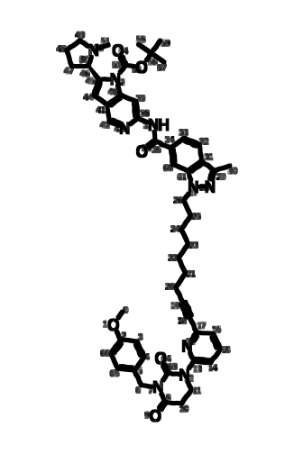 COc1ccc(CN2C(=O)CCN(c3cccc(C#CCCCCCCCn4nc(C)c5ccc(C(=O)Nc6cc7c(cn6)cc([C@H]6CCCN6C)n7C(=O)OC(C)(C)C)cc54)n3)C2=O)cc1